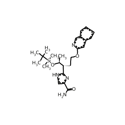 C[C@H](O[Si](C)(C)C(C)(C)C)[C@H](CCOc1cc2ccccc2cn1)c1nc(C(N)=O)c[nH]1